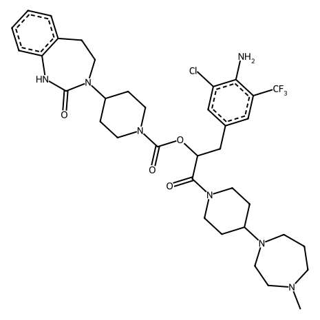 CN1CCCN(C2CCN(C(=O)C(Cc3cc(Cl)c(N)c(C(F)(F)F)c3)OC(=O)N3CCC(N4CCc5ccccc5NC4=O)CC3)CC2)CC1